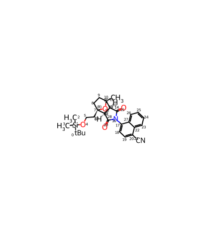 CC(C)(C)[Si](C)(C)OCC[C@@]12CC[C@@](C)(O1)[C@H]1C(=O)N(c3ccc(C#N)c4ccccc34)C(=O)[C@H]12